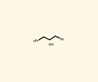 CCCCCCC(C)=O.[KH]